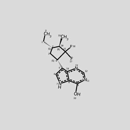 CC[C@H]1C[C@@H](c2c[nH]c3c(O)ncnc23)C(F)(F)[C@@H]1C